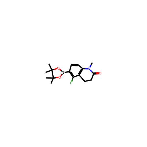 CN1C(=O)CCc2c1ccc(B1OC(C)(C)C(C)(C)O1)c2F